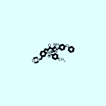 Cc1ccc(S(=O)(=O)n2c(C(=O)c3cnn(-c4ccc(Oc5ccccc5)cc4)c3N)cc3ccc(CN4CCOCC4)cc32)cc1